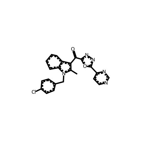 Cc1c(C(=O)c2nnc(-c3ccncn3)o2)c2ccccc2n1Cc1ccc(Cl)cc1